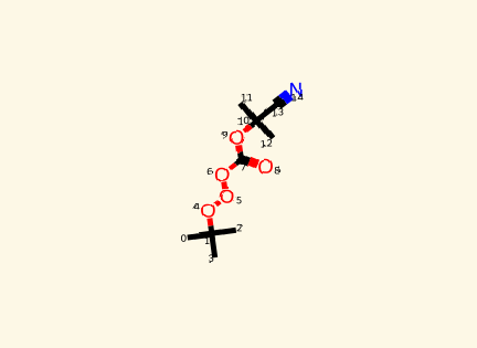 CC(C)(C)OOOC(=O)OC(C)(C)C#N